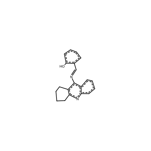 Oc1ccccc1C=Nc1c2c(nc3ccccc13)CCCC2